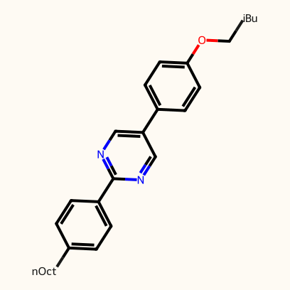 CCCCCCCCc1ccc(-c2ncc(-c3ccc(OCC(C)CC)cc3)cn2)cc1